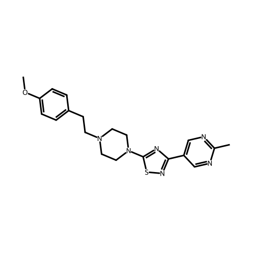 COc1ccc(CCN2CCN(c3nc(-c4cnc(C)nc4)ns3)CC2)cc1